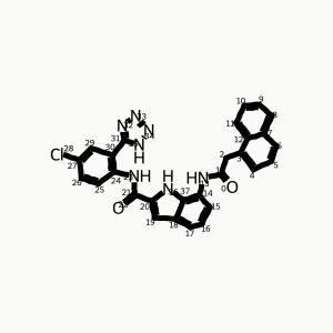 O=C(Cc1cccc2ccccc12)Nc1cccc2cc(C(=O)Nc3ccc(Cl)cc3-c3nnn[nH]3)[nH]c12